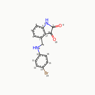 O=C1Nc2cccc(CNc3ccc(Br)cc3)c2C1=O